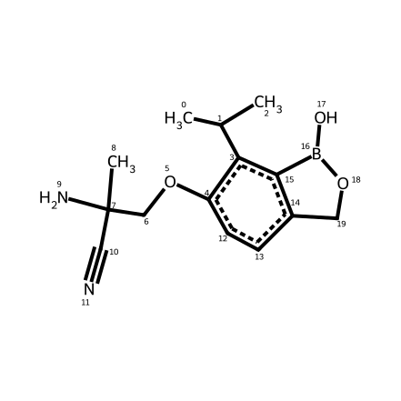 CC(C)c1c(OCC(C)(N)C#N)ccc2c1B(O)OC2